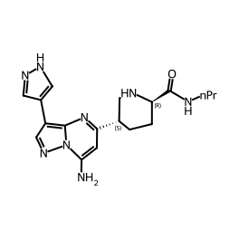 CCCNC(=O)[C@H]1CC[C@H](c2cc(N)n3ncc(-c4cn[nH]c4)c3n2)CN1